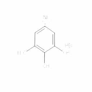 Br.Cc1cccc(C)c1C.N